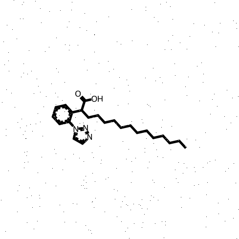 CCCCCCCCCCCCCC(C(=O)O)c1ccccc1-n1ccnn1